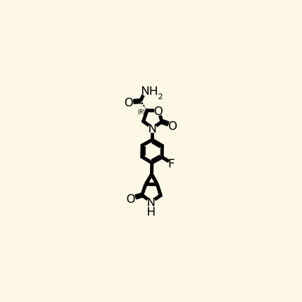 NC(=O)[C@H]1CN(c2ccc(C3C4CNC(=O)C43)c(F)c2)C(=O)O1